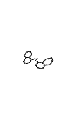 c1ccc2[c]([V][c]3cccc4ccccc34)cccc2c1